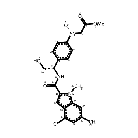 COC(=O)C[S@@+]([O-])c1ccc([C@@H](CO)NC(=O)c2cc3c(Cl)cc(C)cc3n2C)cc1